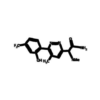 CNC(C(N)=O)c1cc(C)c(-c2ccc(C(F)(F)F)cc2O)nn1